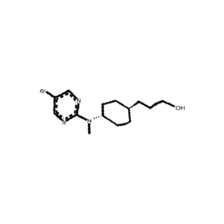 CN(c1ncc(Br)cn1)[C@H]1CC[C@H](CCCO)CC1